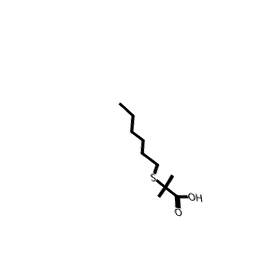 CCCCCCSC(C)(C)C(=O)O